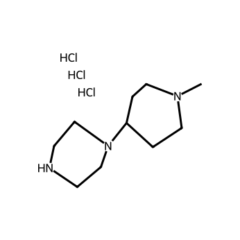 CN1CCC(N2CCNCC2)CC1.Cl.Cl.Cl